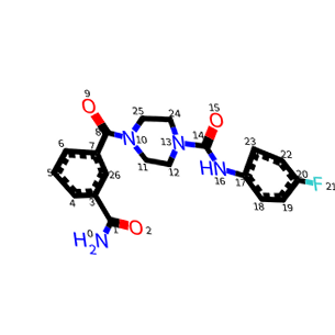 NC(=O)c1cccc(C(=O)N2CCN(C(=O)Nc3ccc(F)cc3)CC2)c1